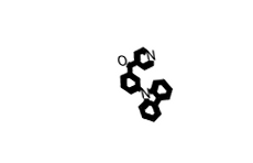 O=C(c1ccncc1)c1cccc(-n2c3ccccc3c3ccccc32)c1